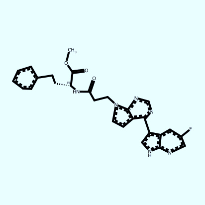 COC(=O)[C@@H](CCc1ccccc1)NC(=O)CCn1ccc2c(-c3c[nH]c4ncc(F)cc34)ncnc21